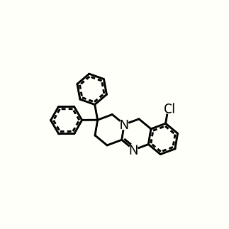 Clc1cccc2c1CN1CC(c3ccccc3)(c3ccccc3)CCC1=N2